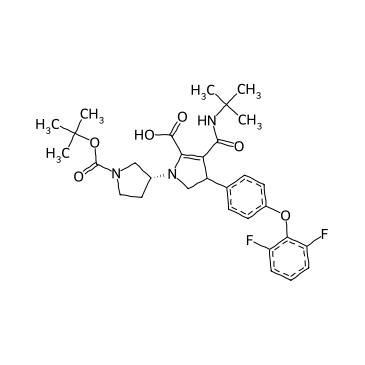 CC(C)(C)NC(=O)C1=C(C(=O)O)N([C@@H]2CCN(C(=O)OC(C)(C)C)C2)CC1c1ccc(Oc2c(F)cccc2F)cc1